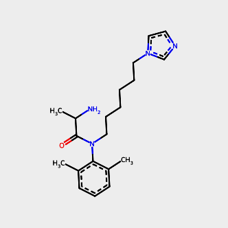 Cc1cccc(C)c1N(CCCCCCn1ccnc1)C(=O)C(C)N